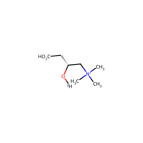 [2H]O[C@H](CC(=O)O)C[N+](C)(C)C